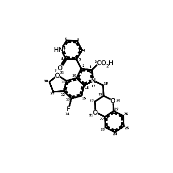 O=C(O)c1c(-c2ccc[nH]c2=O)c2c3c(c(F)cc2n1CC1COc2ccccc2O1)CCO3